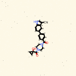 N#Cc1c[nH]c2ccc(-c3ccc(C(=O)N4CCN(C(=O)C5(O)CC5)CC4)cc3)cc12